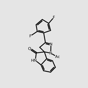 CC(=O)N1N=C(c2cc(F)ccc2F)CC12C(=O)Nc1ccccc12